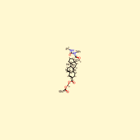 CC(C)NC(=O)N(C(=O)[C@H]1CC[C@H]2[C@@H]3CC=C4C=C(C(=O)OCOC(=O)C(C)(C)C)CC[C@]4(C)[C@H]3CC[C@]12C)C(C)C